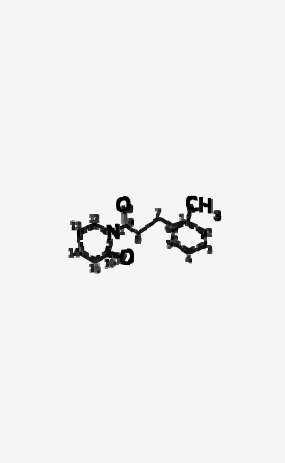 Cc1ccccc1CCC(=O)n1ccccc1=O